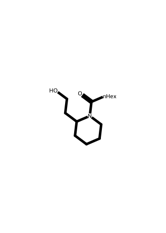 CCCCCCC(=O)N1CCCCC1CCO